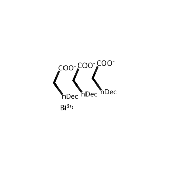 CCCCCCCCCCCC(=O)[O-].CCCCCCCCCCCC(=O)[O-].CCCCCCCCCCCC(=O)[O-].[Bi+3]